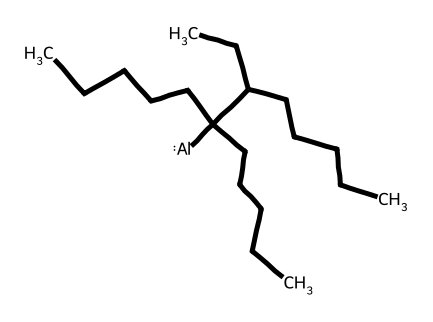 CCCCCC(CC)[C]([Al])(CCCCC)CCCCC